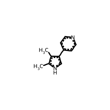 Cc1[nH]cc(-c2ccncc2)c1C